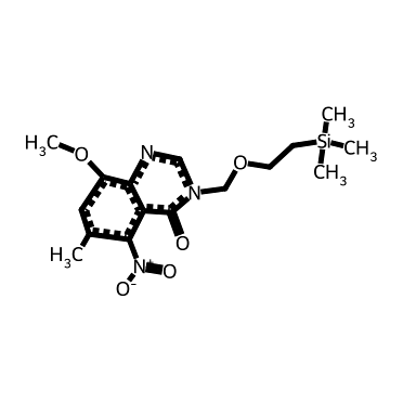 COc1cc(C)c([N+](=O)[O-])c2c(=O)n(COCC[Si](C)(C)C)cnc12